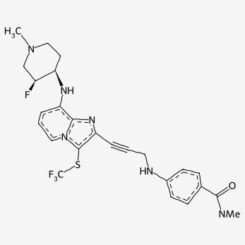 CNC(=O)c1ccc(NCC#Cc2nc3c(N[C@@H]4CCN(C)C[C@@H]4F)cccn3c2SC(F)(F)F)cc1